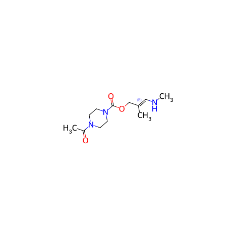 CN/C=C(\C)COC(=O)N1CCN(C(C)=O)CC1